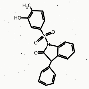 Cc1ccc(S(=O)(=O)N2C(=O)C(c3ccccc3)c3ccccc32)cc1O